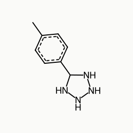 Cc1ccc(C2NNNN2)cc1